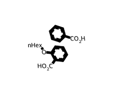 CCCCCCOc1ccccc1C(=O)O.O=C(O)c1ccccc1